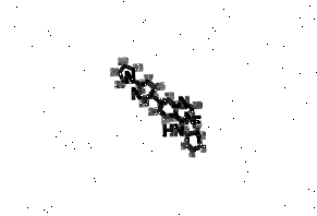 Fc1ccccc1Nc1ncnc2cc(-c3ccc(N4CCCC4)nc3)ccc12